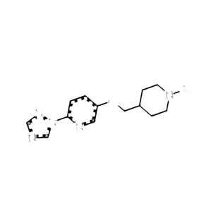 CC(=O)N1CCC(COc2ccc(-n3cncn3)nc2)CC1